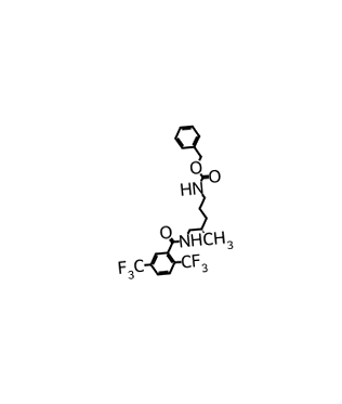 C[C@@H](CCCNC(=O)OCc1ccccc1)CNC(=O)c1cc(C(F)(F)F)ccc1C(F)(F)F